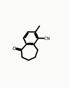 Cc1ccc2c(c1C#N)CCCCC2=O